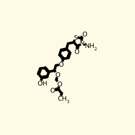 CCC(=O)OCOC(COc1ccc(CC2SC(=O)N(N)C2=O)cc1)c1cccc(O)c1